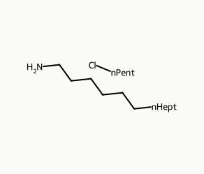 CCCCCCCCCCCCCN.CCCCCCl